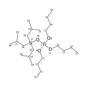 CCCC[O][Ti]([O]CCCC)([O]CCCC)[O][Si](CC(C)C)(CC(C)C)CC(C)C